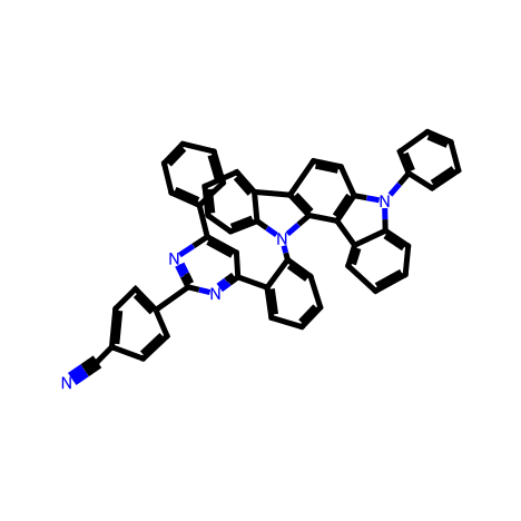 N#Cc1ccc(-c2nc(-c3ccccc3)cc(-c3ccccc3-n3c4ccccc4c4ccc5c(c6ccccc6n5-c5ccccc5)c43)n2)cc1